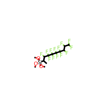 CO[Si](OC)(OC)C(C)C(F)C(F)(F)C(F)(F)C(F)(F)C(F)(F)C(F)C(F)C(F)F